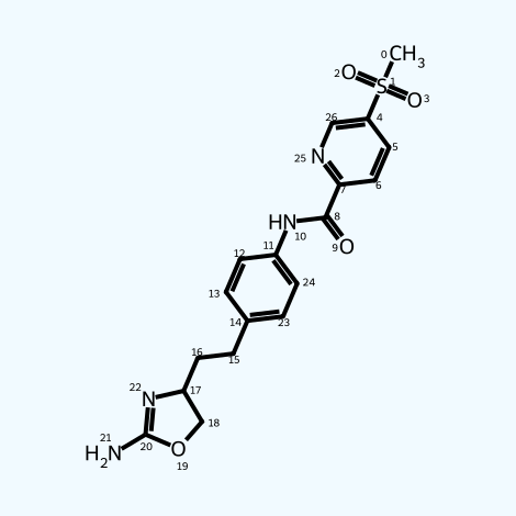 CS(=O)(=O)c1ccc(C(=O)Nc2ccc(CCC3COC(N)=N3)cc2)nc1